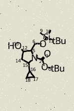 CC(C)(C)OC(=O)N1C(CO[Si](C)(C)C(C)(C)C)C(O)CC1C1CC1